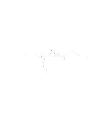 CN(C)/N=C/C=O